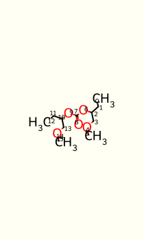 CCC(COC)OC(=O)OC(CC)COC